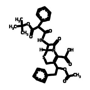 CC(=O)OC(Cc1ccccc1)C1=C(C(=O)O)N2C(=O)C(NC(=O)C(C(=O)OC(C)(C)C)c3ccccc3)[C@H]2SC1